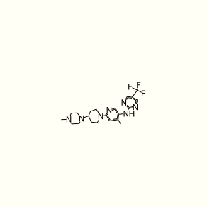 Cc1cc(N2CCC(N3CCN(C)CC3)CC2)ncc1Nc1ncc(C(F)(F)F)cn1